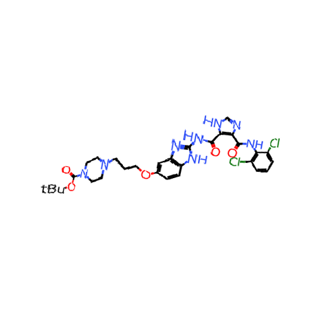 CC(C)(C)OC(=O)N1CCN(CCCOc2ccc3[nH]c(NC(=O)c4[nH]cnc4C(=O)Nc4c(Cl)cccc4Cl)nc3c2)CC1